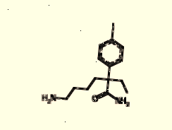 CCC(CCCCN)(C(N)=O)c1ccc(I)cc1